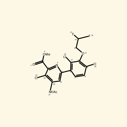 COC(=O)c1nc(-c2ccc(Cl)c(OCC(F)F)c2Cl)cc(NC(C)=O)c1Cl